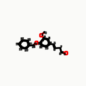 COc1cc(C=CCC=O)ccc1OCc1ccccc1